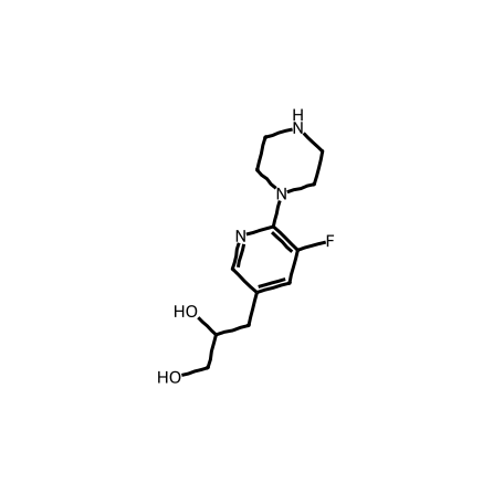 OCC(O)Cc1cnc(N2CCNCC2)c(F)c1